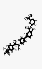 O=C(Nc1ccc(-c2ccc3c(c2)C(=O)N(C2CCCC(C(=O)O)C2)C3)cc1)c1ccc(C(F)(F)F)cc1